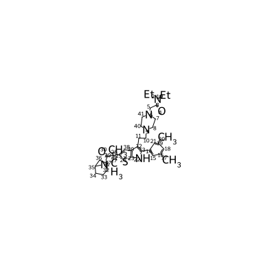 CCN(CC)C(=O)CN1CCN(CCc2c(-c3cc(C)cc(C)c3)[nH]c3sc(C(C)(C)C(=O)N4C5CCC4CC5)cc23)CC1